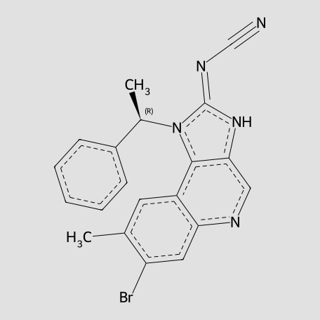 Cc1cc2c(cc1Br)ncc1[nH]c(=NC#N)n([C@H](C)c3ccccc3)c12